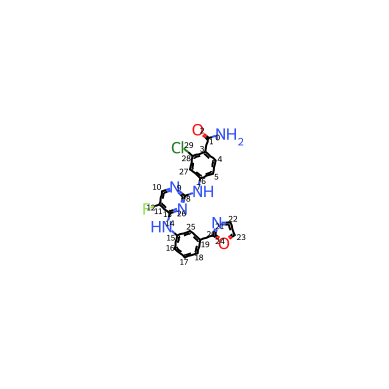 NC(=O)c1ccc(Nc2ncc(F)c(Nc3cccc(-c4ncco4)c3)n2)cc1Cl